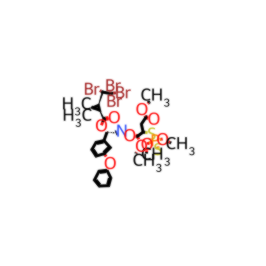 CC1(C)[C@H](C(=O)O[C@H](C#N)c2cccc(Oc3ccccc3)c2)[C@@H]1C(Br)C(Br)(Br)Br.CCOC(=O)CC(SP(=S)(OC)OC)C(=O)OCC